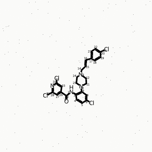 O=C(Nc1ccc(Cl)cc1N1CCN(CC=Cc2ccc(Cl)cc2)CC1)c1cc(Cl)nc(Cl)c1